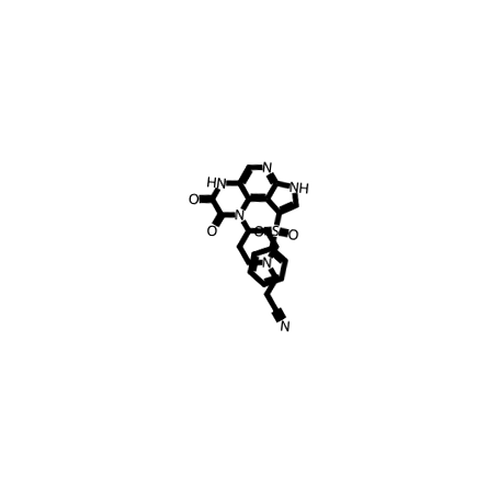 N#CCCN1CCC(n2c(=O)c(=O)[nH]c3cnc4[nH]cc(S(=O)(=O)c5ccccc5)c4c32)CC1